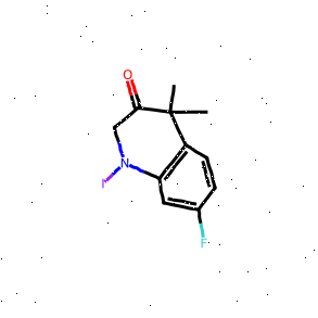 CC1(C)C(=O)CN(I)c2cc(F)ccc21